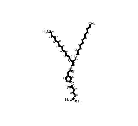 CCCCCCCCCCCCOCC(COC(=O)CC1CCC(OC(=O)CCCN(C)C)C1)OCCCCCCCCCCCC